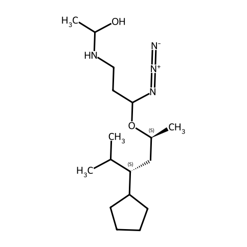 CC(O)NCCC(N=[N+]=[N-])O[C@@H](C)C[C@@H](C(C)C)C1CCCC1